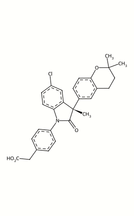 CC1(C)CCc2cc([C@]3(C)C(=O)N(c4ccc(CC(=O)O)cc4)c4ccc(Cl)cc43)ccc2O1